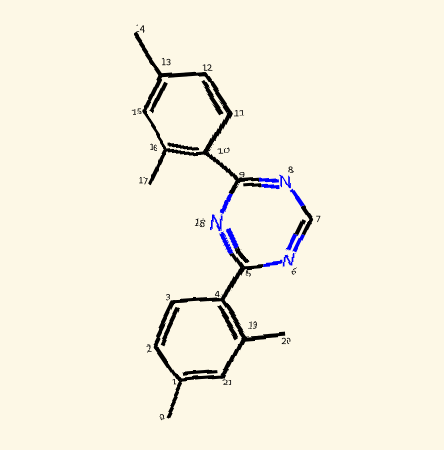 Cc1ccc(-c2n[c]nc(-c3ccc(C)cc3C)n2)c(C)c1